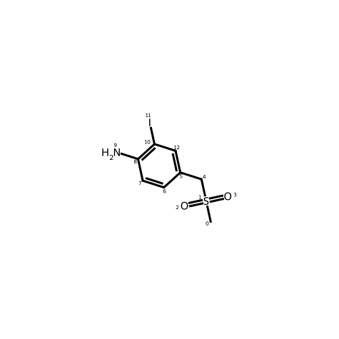 CS(=O)(=O)Cc1ccc(N)c(I)c1